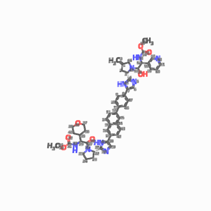 C=C1C[C@@H](c2ncc(-c3ccc(-c4ccc5cc(-c6cnc([C@@H]7CCCN7C(=O)[C@@H](NC(=O)OC)C7CCOCC7)[nH]6)ccc5c4)cc3)[nH]2)N(C(O)C(NC(=O)OC)c2cccnc2)C1